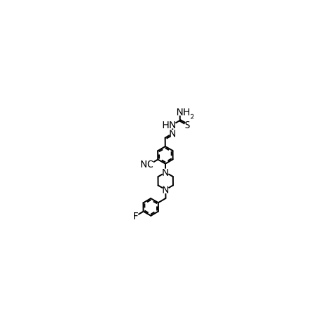 N#Cc1cc(C=NNC(N)=S)ccc1N1CCN(Cc2ccc(F)cc2)CC1